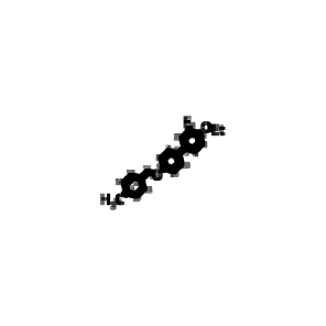 CCOc1ccc(-c2ccc(OCC3C=CC(C)CC3)cc2)cc1F